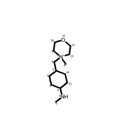 CNC1CCC(C[N+]2(C)CCOCC2)CC1